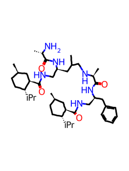 CC(CN[C@@H](C)C(=O)N[C@H](CNC(=O)[C@@H]1C[C@H](C)CC[C@H]1C(C)C)Cc1ccccc1)C[C@@H](CNC(=O)[C@@H]1C[C@H](C)CC[C@H]1C(C)C)NC(=O)[C@H](C)N